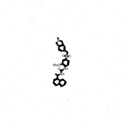 COc1cc(S(=O)(=O)Cc2ccc3c(c2)CN(C)C3)ccc1NC(=O)NC(C)c1cccc2ccccc12